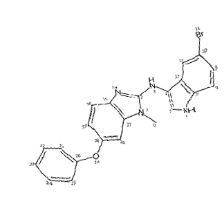 Cn1c(Nc2c[nH]c3ccc(Br)cc23)nc2ccc(Oc3ccccc3)cc21